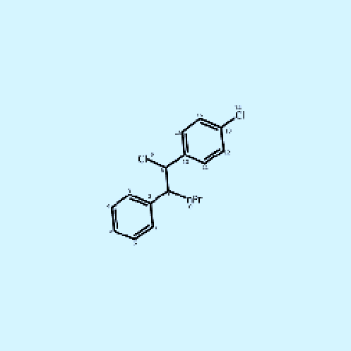 CCCC(c1ccccc1)C(Cl)c1ccc(Cl)cc1